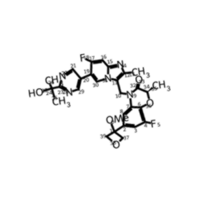 COC1(c2cc(F)c3c(c2)N(Cc2c(C)nc4cc(F)c(-c5cnc(C(C)(C)O)nc5)cn24)C(=O)[C@@H](C)O3)COC1